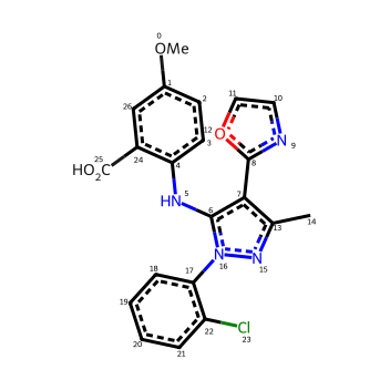 COc1ccc(Nc2c(-c3ncco3)c(C)nn2-c2ccccc2Cl)c(C(=O)O)c1